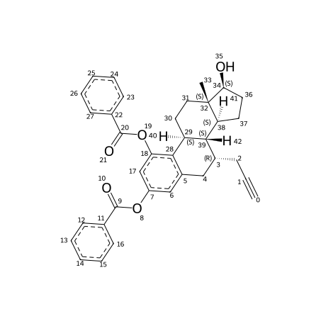 C#CC[C@@H]1Cc2cc(OC(=O)c3ccccc3)cc(OC(=O)c3ccccc3)c2[C@H]2CC[C@]3(C)[C@@H](O)CC[C@H]3[C@H]12